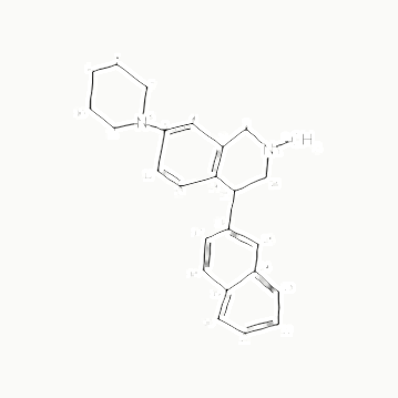 CN1Cc2cc(N3CCCCC3)ccc2C(c2ccc3ccccc3c2)C1